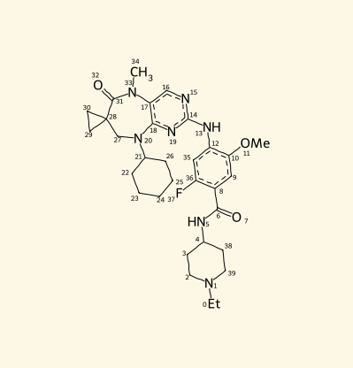 CCN1CCC(NC(=O)c2cc(OC)c(Nc3ncc4c(n3)N(C3CCCCC3)CC3(CC3)C(=O)N4C)cc2F)CC1